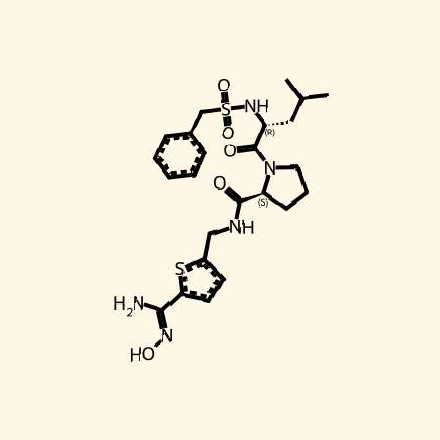 CC(C)C[C@@H](NS(=O)(=O)Cc1ccccc1)C(=O)N1CCC[C@H]1C(=O)NCc1ccc(C(N)=NO)s1